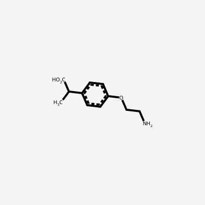 CC(C(=O)O)c1ccc(OCCN)cc1